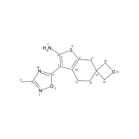 Cc1noc(-c2c(N)sc3c2CCC2(COC2)C3)n1